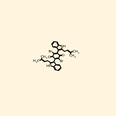 CC(C)=CCc1[nH]c2ccccc2c1C1=C(Br)C(=O)C(c2c(CC=C(C)C)[nH]c3ccccc23)=C(Br)C1=O